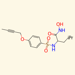 CC#CCOc1ccc(S(=O)(=O)NC(CC(C)C)C(=O)NO)cc1